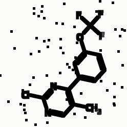 Cc1cnc(Cl)nc1-c1cccc(OC(F)(F)F)c1